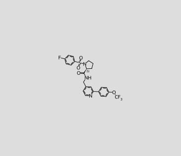 O=C(NCc1ccnc(-c2ccc(OC(F)(F)F)cc2)c1)[C@@H]1CCCN1S(=O)(=O)c1ccc(F)cc1